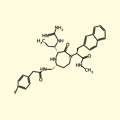 CCC(NC(=N)N)[C@H]1N[C@@H](CNC(=O)Cc2ccc(F)cc2)CCN([C@@H](Cc2ccc3ccccc3c2)C(=O)NC)C1=O